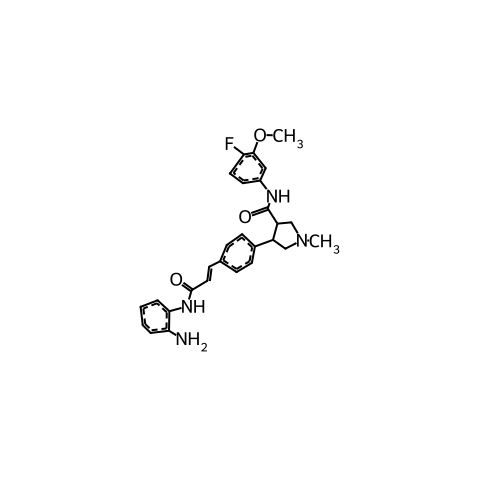 COc1cc(NC(=O)C2CN(C)CC2c2ccc(/C=C/C(=O)Nc3ccccc3N)cc2)ccc1F